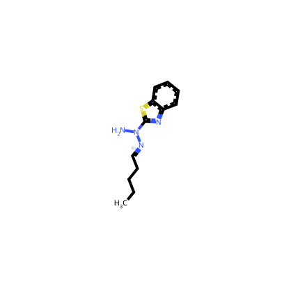 CCCC/C=N/N(N)c1nc2ccccc2s1